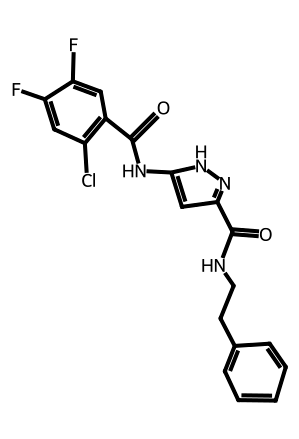 O=C(NCCc1ccccc1)c1cc(NC(=O)c2cc(F)c(F)cc2Cl)[nH]n1